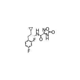 O=C(NC[C@H](Cc1ccc(F)cc1F)C1CC1)c1noc(=O)[nH]1